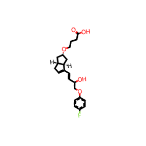 O=C(O)CCCO[C@H]1C[C@H]2CC=C(C=CC(O)COc3ccc(F)cc3)[C@@H]2C1